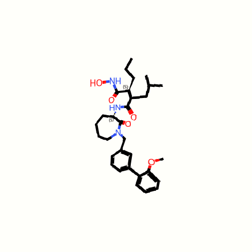 CCC[C@H](C(=O)NO)C(CC(C)C)C(=O)N[C@H]1CCCCN(Cc2cccc(-c3ccccc3OC)c2)C1=O